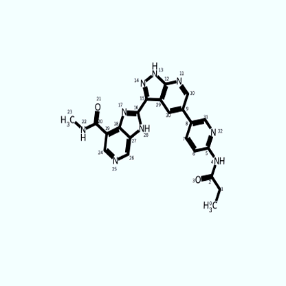 CCC(=O)Nc1ccc(-c2cnc3[nH]nc(-c4nc5c(C(=O)NC)cncc5[nH]4)c3c2)cn1